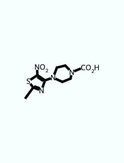 Cc1nc(N2CCN(C(=O)O)CC2)c([N+](=O)[O-])s1